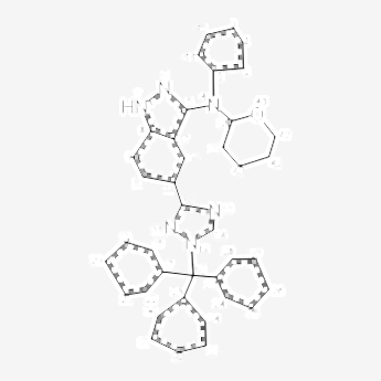 c1ccc(N(c2n[nH]c3ccc(-c4ncn(C(c5ccccc5)(c5ccccc5)c5ccccc5)n4)cc23)C2CCCCO2)cc1